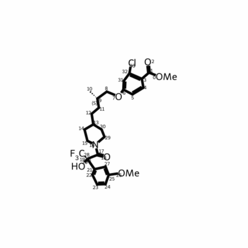 COC(=O)c1ccc(OC[C@@H](C)CCC2CCN(C(=O)[C@](O)(c3cccc(OC)c3)C(F)(F)F)CC2)cc1Cl